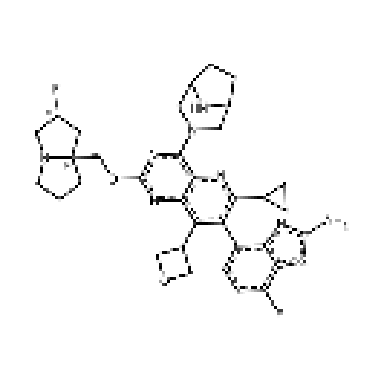 Nc1nc2c(-c3c(C4CC4)nc4c(N5CC6CCC(C5)N6)nc(OC[C@@]56CCCN5C[C@H](F)C6)nc4c3C3COC3)ccc(F)c2s1